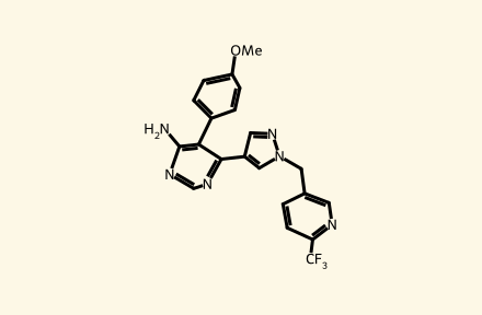 COc1ccc(-c2c(N)ncnc2-c2cnn(Cc3ccc(C(F)(F)F)nc3)c2)cc1